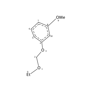 CCOCOc1[c]ccc(OC)c1